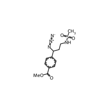 COC(=O)c1ccc(C(CCNS(C)(=O)=O)N=[N+]=[N-])cc1